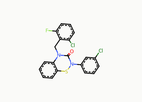 O=C1N(Cc2c(F)cccc2Cl)c2ccccc2SN1c1cccc(Cl)c1